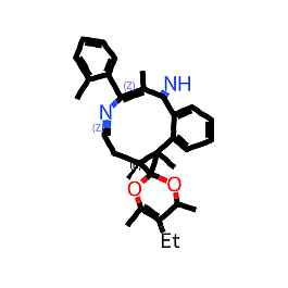 CCC1=C(C)OC2(OC1C)C1(C)c3ccccc3C(=N)/C(C)=C(c3ccccc3C)\N=C/C[C@@]21C